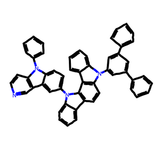 c1ccc(-c2cc(-c3ccccc3)cc(-n3c4ccccc4c4c3ccc3c5ccccc5n(-c5ccc6c(c5)c5cnccc5n6-c5ccccc5)c34)c2)cc1